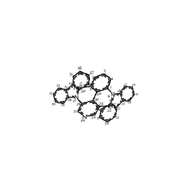 N#Cc1cccc(-n2c3ccccc3c3ccccc32)c1-c1c(C#N)cncc1-n1c2ccccc2c2ccccc21